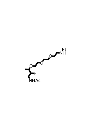 CCNCCOCCOCCOC(C)C(F)CNC(C)=O